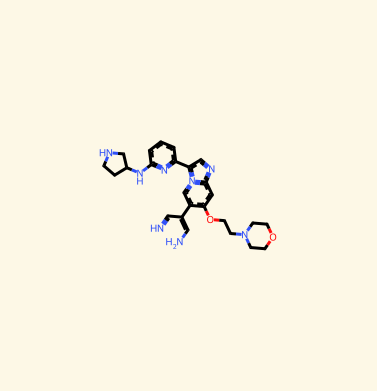 N=C/C(=C\N)c1cn2c(-c3cccc(NC4CCNC4)n3)cnc2cc1OCCN1CCOCC1